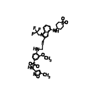 COc1cc(S(=O)(=O)Nc2cc(C)on2)ccc1NCC#Cc1cc2c(NC3CCS(=O)(=O)CC3)cccc2n1CC(F)(F)F